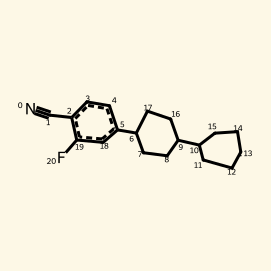 N#Cc1ccc(C2CCC(C3CC[CH]CC3)CC2)cc1F